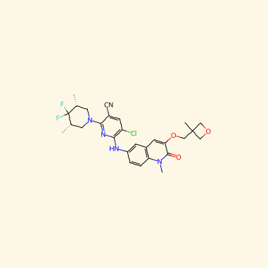 C[C@@H]1CN(c2nc(Nc3ccc4c(c3)cc(OCC3(C)COC3)c(=O)n4C)c(Cl)cc2C#N)C[C@H](C)C1(F)F